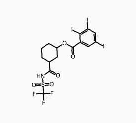 O=C(OC1CCCC(C(=O)NS(=O)(=O)C(F)(F)F)C1)c1cc(I)cc(I)c1I